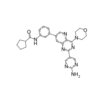 Nc1ncc(-c2nc(N3CCOCC3)c3ncc(-c4cccc(NC(=O)C5CCCC5)c4)cc3n2)cn1